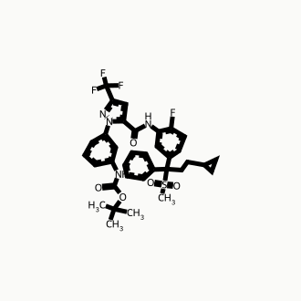 CC(C)(C)OC(=O)Nc1cccc(-n2nc(C(F)(F)F)cc2C(=O)Nc2cc(C(CCC3CC3)(c3ccccc3)S(C)(=O)=O)ccc2F)c1